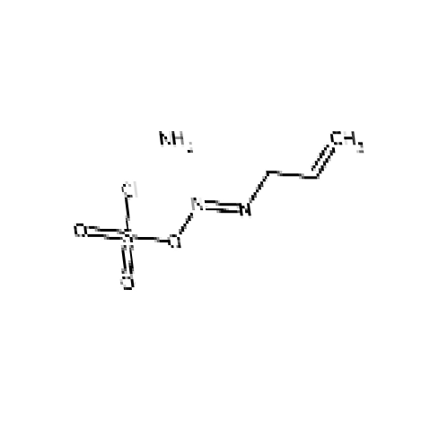 C=CCN=NOS(=O)(=O)Cl.N